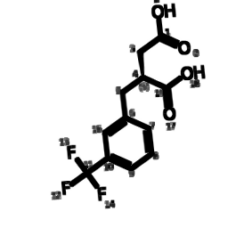 O=C(O)C[C@H](Cc1cccc(C(F)(F)F)c1)C(=O)O